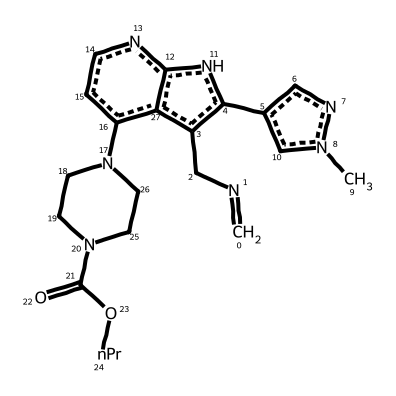 C=NCc1c(-c2cnn(C)c2)[nH]c2nccc(N3CCN(C(=O)OCCC)CC3)c12